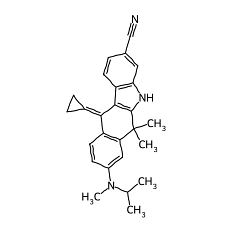 CC(C)N(C)c1ccc2c(c1)C(C)(C)c1[nH]c3cc(C#N)ccc3c1C2=C1CC1